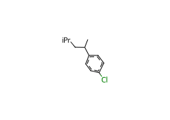 CC(C)CC(C)c1ccc(Cl)cc1